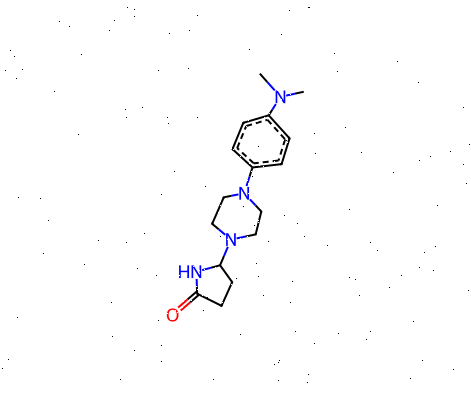 CN(C)c1ccc(N2CCN(C3CCC(=O)N3)CC2)cc1